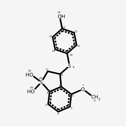 COc1cccc2c1C(Sc1ccc(O)cc1)CS2(O)O